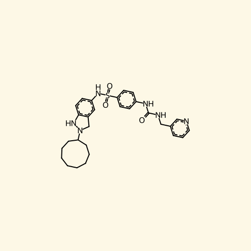 O=C(NCc1cccnc1)Nc1ccc(S(=O)(=O)Nc2ccc3c(c2)CN(C2CCCCCCCC2)N3)cc1